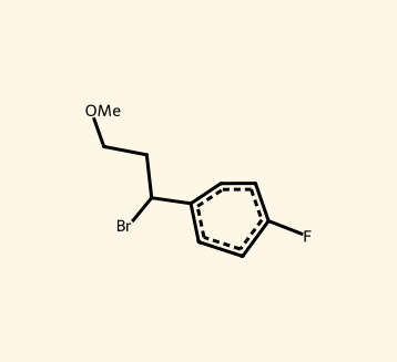 COCCC(Br)c1ccc(F)cc1